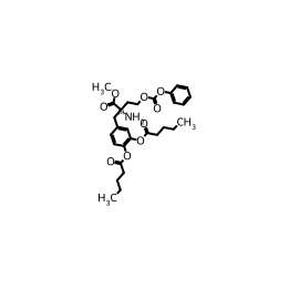 CCCCC(=O)Oc1ccc(C[C@](N)(CCOC(=O)Oc2ccccc2)C(=O)OC)cc1OC(=O)CCCC